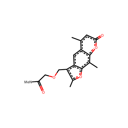 CNC(=O)COCc1c(C)oc2c(C)c3oc(=O)cc(C)c3cc12